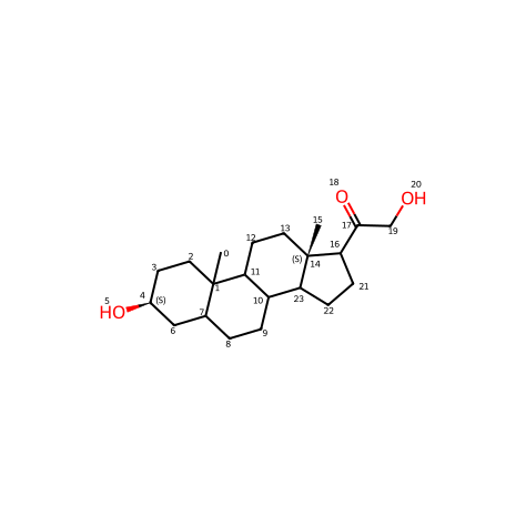 CC12CC[C@H](O)CC1CCC1C2CC[C@]2(C)C(C(=O)CO)CCC12